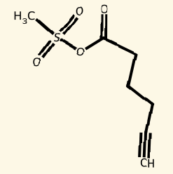 C#CCCCC(=O)OS(C)(=O)=O